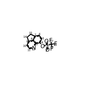 O=S(=O)(Oc1ccc2c3c(ccnc13)CC2)C(F)(F)F